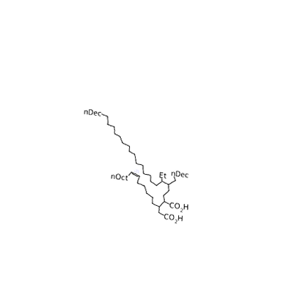 CCCCCCCC/C=C\CCCCCC(CC(=O)O)C(CCC(CCCCCCCCCCC)C(CC)CCCCCCCCCCCCCCCCCCCCCCCCC)C(=O)O